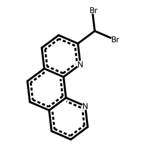 BrC(Br)c1ccc2ccc3cccnc3c2n1